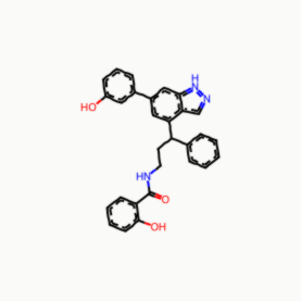 O=C(NCCC(c1ccccc1)c1cc(-c2cccc(O)c2)cc2[nH]ncc12)c1ccccc1O